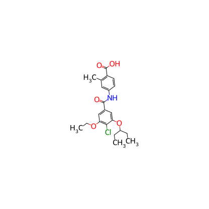 CCOc1cc(C(=O)Nc2ccc(C(=O)O)c(C)c2)cc(OC(CC)CC)c1Cl